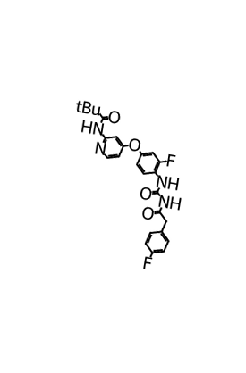 CC(C)(C)C(=O)Nc1cc(Oc2ccc(NC(=O)NC(=O)Cc3ccc(F)cc3)c(F)c2)ccn1